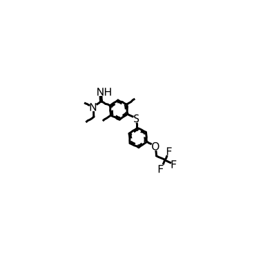 CCN(C)C(=N)c1cc(C)c(Sc2cccc(OCC(F)(F)F)c2)cc1C